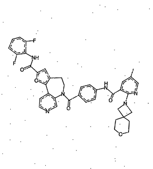 Cc1cnc(N2CC3(CCOCC3)C2)c(C(=O)Nc2ccc(C(=O)N3CCc4cc(C(=O)Nc5c(F)cccc5F)oc4-c4ccncc43)cc2)c1